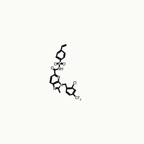 C=Cc1ccc(S(=O)(=O)NC(=O)c2ccc3nc(C)n(Cc4ccc(C(F)(F)F)cc4Cl)c3n2)cc1